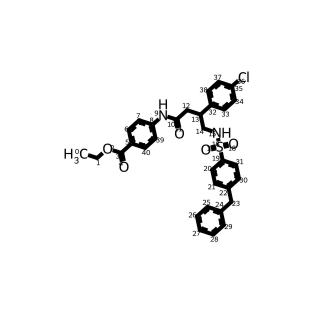 CCOC(=O)c1ccc(NC(=O)CC(CNS(=O)(=O)c2ccc(Cc3ccccc3)cc2)c2ccc(Cl)cc2)cc1